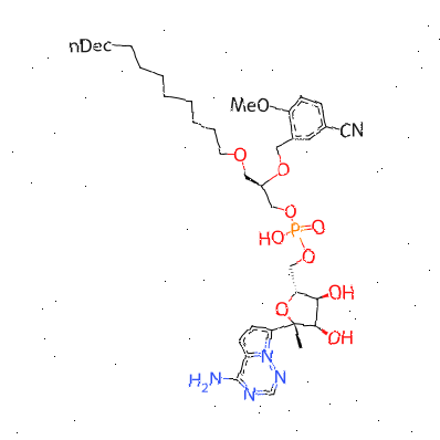 CCCCCCCCCCCCCCCCCCOC[C@H](COP(=O)(O)OC[C@H]1O[C@@](C)(c2ccc3c(N)ncnn23)[C@H](O)[C@@H]1O)OCc1cc(C#N)ccc1OC